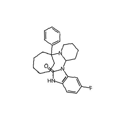 O=c1[nH]c2ccc(F)cc2n1C1CCCCN1C1(c2ccccc2)CCCCCC1